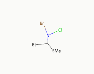 CCC(SC)N(Cl)Br